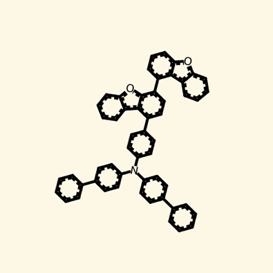 c1ccc(-c2ccc(N(c3ccc(-c4ccccc4)cc3)c3ccc(-c4ccc(-c5cccc6oc7ccccc7c56)c5oc6ccccc6c45)cc3)cc2)cc1